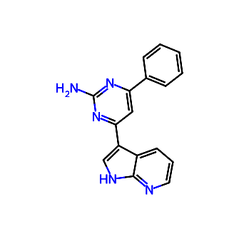 Nc1nc(-c2ccccc2)cc(-c2c[nH]c3ncccc23)n1